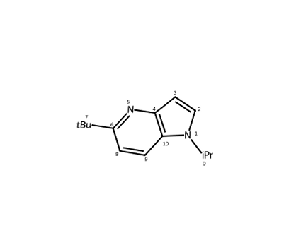 CC(C)n1ccc2nc(C(C)(C)C)ccc21